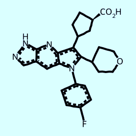 O=C(O)[C@@H]1CCC(c2c(C3CCOCC3)n(-c3ccc(F)cc3)c3cc4cn[nH]c4nc23)C1